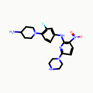 NC1CCN(c2ccc(Nc3nc(N4CCNCC4)ccc3[N+](=O)[O-])cc2F)CC1